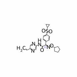 C=Cc1cnc(NC(=O)/C(=N/OC2CCCC2)c2ccc(S(=O)(=O)C3CC3)cc2)cn1